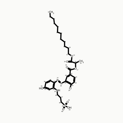 CCCCCCCCCCCCOC(=O)C(C)OC(=O)c1ccc(Cl)c(N=Nc2ccc(O)cc2NCCCS(=O)(=O)O)c1